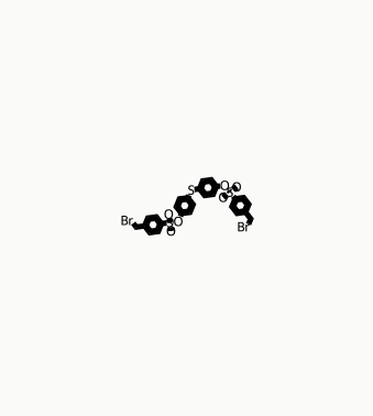 O=S(=O)(Oc1ccc(Sc2ccc(OS(=O)(=O)c3ccc(CBr)cc3)cc2)cc1)c1ccc(CBr)cc1